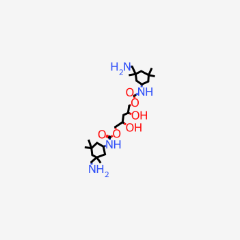 CC1(C)CC(NC(=O)OCC(O)CC(O)COC(=O)NC2CC(C)(C)CC(C)(CN)C2)CC(C)(CN)C1